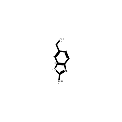 CCCCc1nc2ccc(CO)cc2o1